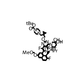 COCOc1cc(-c2ncc3c(N4CCC[C@@](C)(O)C4)nc(OCC4(CN5CCN(C(=O)OC(C)(C)C)CC5)CC4)nc3c2F)c2c(C#C[Si](C(C)C)(C(C)C)C(C)C)c(F)ccc2c1